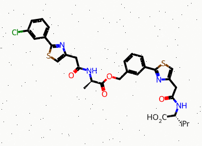 CC(C)[C@@H](NC(=O)Cc1csc(-c2cccc(COC(=O)[C@@H](C)NC(=O)Cc3csc(-c4cccc(Cl)c4)n3)c2)n1)C(=O)O